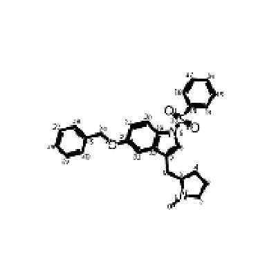 CN1CCCC1Cc1cn(S(=O)(=O)c2ccccc2)c2ccc(OCc3ccccc3)cc12